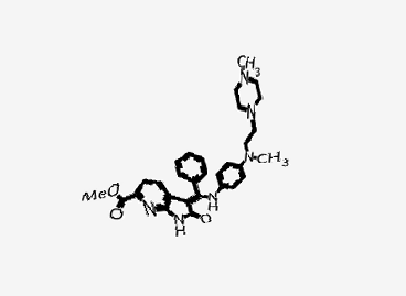 COC(=O)c1ccc2c(n1)NC(=O)/C2=C(\Nc1ccc(N(C)CCN2CCN(C)CC2)cc1)c1ccccc1